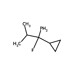 CC(C)C(F)(P)C1CC1